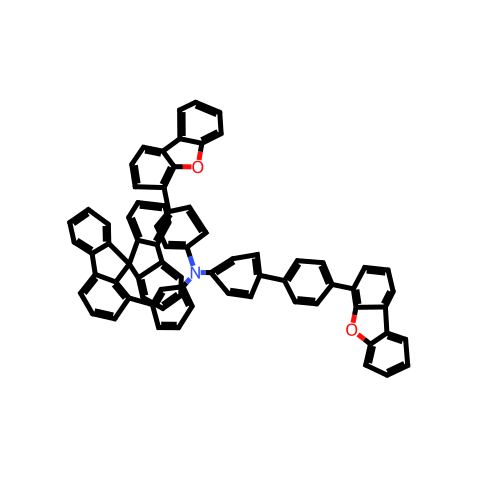 c1cc(-c2cccc3c2C2(c4ccccc4-c4ccccc42)c2ccccc2-3)cc(N(c2ccc(-c3ccc(-c4cccc5c4oc4ccccc45)cc3)cc2)c2ccc(-c3cccc4c3oc3ccccc34)cc2)c1